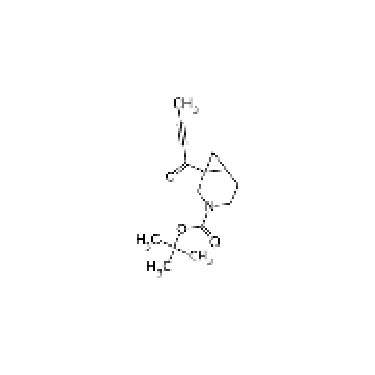 CC#CC(=O)C12CC1CCN(C(=O)OC(C)(C)C)C2